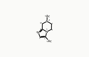 CC(=O)c1cnc2n1CCN(C(C)=O)C2